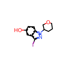 Oc1ccc2c(c1)c(I)nn2C1CCCOC1